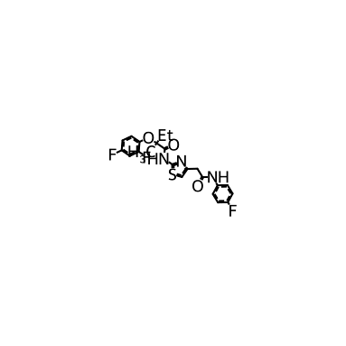 CCC(C)(Oc1ccc(F)cc1F)C(=O)Nc1nc(CC(=O)Nc2ccc(F)cc2)cs1